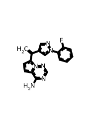 C=C(c1cnn(-c2ccccc2F)c1)c1ccc2c(N)ncnn12